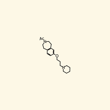 CC(=O)N1CCc2ccc(OCCCN3CCCCC3)cc2CC1